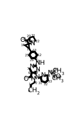 C=CCn1c(=O)c2cnc(Nc3ccc(C4CC45C(=O)C4CCN5C4)cc3)nc2n1-c1cccc(N=S(C)(C)=O)n1